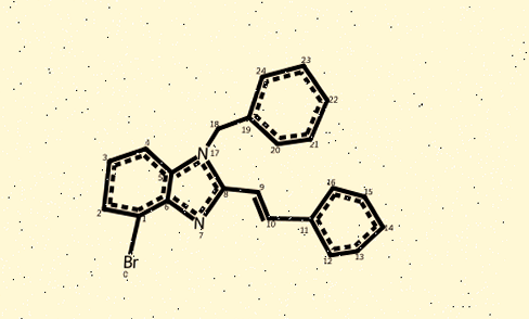 Brc1cccc2c1nc(C=Cc1ccccc1)n2Cc1ccccc1